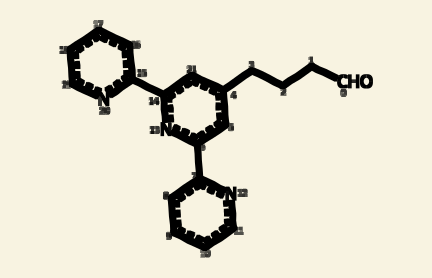 O=CCCCc1cc(-c2ccccn2)nc(-c2ccccn2)c1